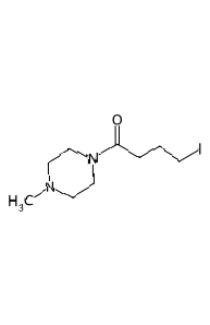 CN1CCN(C(=O)CCCI)CC1